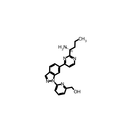 CCC[C@@H](N)c1nccc(-c2ccc3cnn(-c4cccc(CO)n4)c3c2)n1